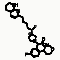 O=C(O)C(c1cc(F)ccc1C1CCOCC1)N1CC[C@@H](C(F)CCCCc2ccc3c(n2)NCCC3)C1